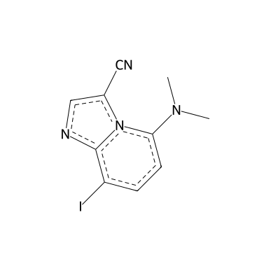 CN(C)c1ccc(I)c2ncc(C#N)n12